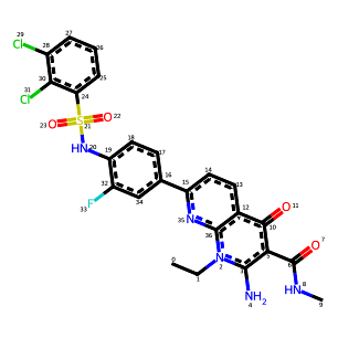 CCn1c(N)c(C(=O)NC)c(=O)c2ccc(-c3ccc(NS(=O)(=O)c4cccc(Cl)c4Cl)c(F)c3)nc21